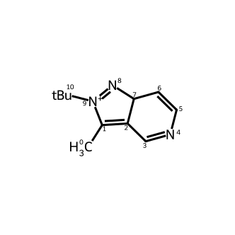 CC1=C2C=NC=CC2N=[N+]1C(C)(C)C